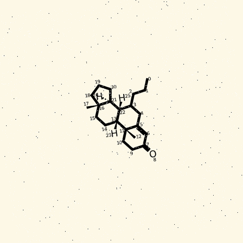 CCCC1CC2=CC(=O)CC[C@]2(C)[C@@H]2CC[C@]3(C)CCC[C@H]3[C@H]12